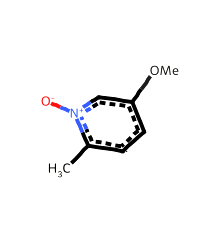 COc1c[c]c(C)[n+]([O-])c1